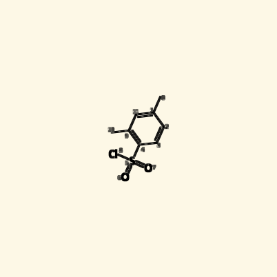 Cc1ccc(S(=O)(=O)Cl)c(C)c1